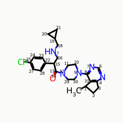 CC1CCc2ncnc(N3CCN(C(=O)C(CNCC4CC4)c4ccc(Cl)cc4)CC3)c21